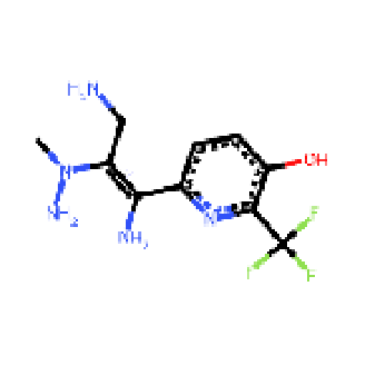 CN(N)/C(CN)=C(\N)c1ccc(O)c(C(F)(F)F)n1